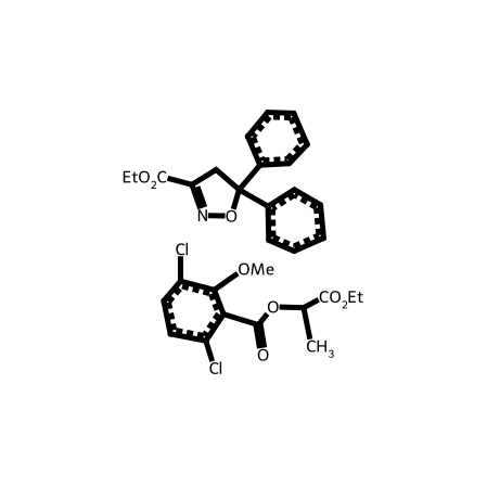 CCOC(=O)C(C)OC(=O)c1c(Cl)ccc(Cl)c1OC.CCOC(=O)C1=NOC(c2ccccc2)(c2ccccc2)C1